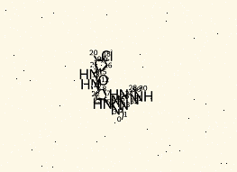 CCc1nc(Nc2ccc(NC(=O)Nc3ccc(Cl)c(C)c3)cc2)nc(Nc2cc(C)[nH]n2)n1